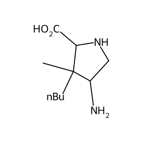 CCCCC1(C)C(N)CNC1C(=O)O